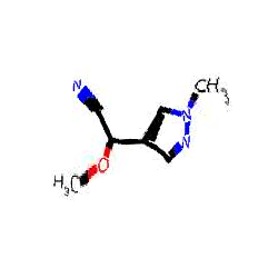 COC(C#N)c1cnn(C)c1